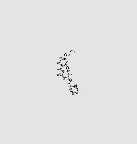 CCCOc1ccc(C(C)n2c(C)cc(OCc3ncccn3)cc2=O)cc1